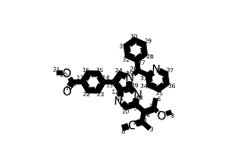 C=C=C(C)/C(=C(/C)OC)c1cnc2c(-c3ccc(C(=O)OC)cc3)cn(C(c3ccccc3)c3ccccn3)c2n1